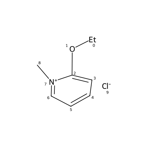 CCOc1cccc[n+]1C.[Cl-]